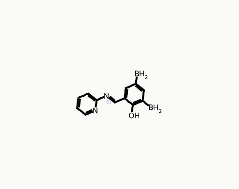 Bc1cc(B)c(O)c(/C=N/c2ccccn2)c1